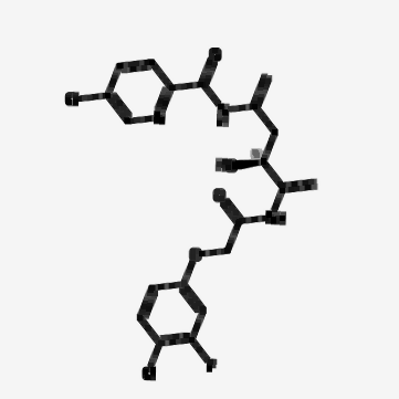 C=C(C[C@H](O)C(=C)NC(=O)COc1ccc(Cl)c(F)c1)NC(=O)c1ccc(Cl)cn1